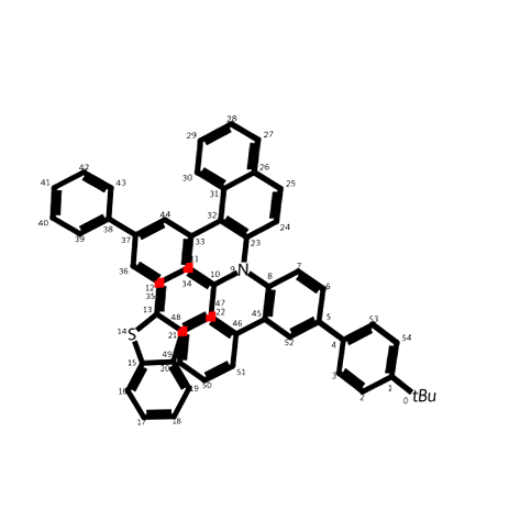 CC(C)(C)c1ccc(-c2ccc(N(c3ccc4sc5ccccc5c4c3)c3ccc4ccccc4c3-c3cccc(-c4ccccc4)c3)c(-c3ccccc3)c2)cc1